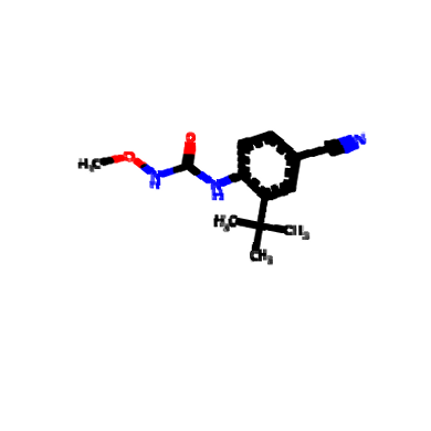 CONC(=O)Nc1ccc(C#N)cc1C(C)(C)C